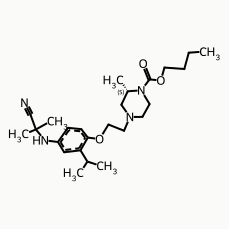 CCCCOC(=O)N1CCN(CCOc2ccc(NC(C)(C)C#N)cc2C(C)C)C[C@@H]1C